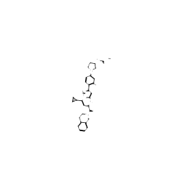 COC(=O)N[C@H]1CCN(c2ccc(-c3cc4nc(C(=O)N5CCc6ccccc6[C@H]5C)cc(C5CC5)n4n3)c(F)c2)C1